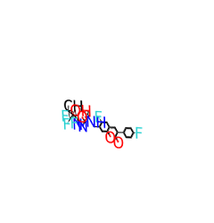 CC[C@](O)(c1nnc(NCc2cc3oc(=O)c(-c4ccc(F)cc4)cc3cc2F)o1)C(F)(F)F